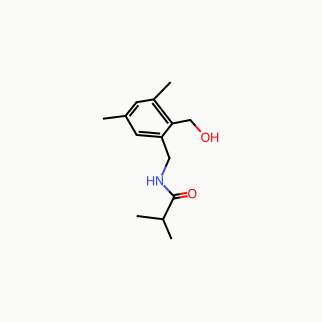 Cc1cc(C)c(CO)c(CNC(=O)C(C)C)c1